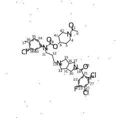 CC(=O)N1CCC(OC(=O)N(CCCN2CC3CN(C(=O)c4cc(F)c(Cl)cc4Cl)CC3C2)c2ccc(C)c(Cl)c2)CC1